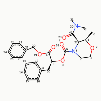 C[C@H]1OCCN(C(=O)O[C@@H](Cc2ccccc2)C(=O)OCc2ccccc2)[C@H]1C(=O)N(C)C